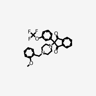 COc1ccccc1CN1CCN(C2(c3cccc(OC(F)(F)F)c3)C(=O)c3ccccc3C2=O)CC1